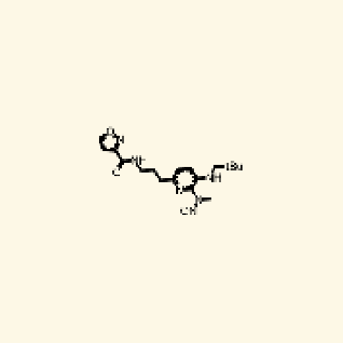 CN(N=O)c1nc(CCCNC(=O)c2ccon2)ccc1NCC(C)(C)C